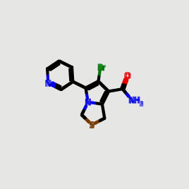 NC(=O)c1c(Br)c(-c2cccnc2)n2c1CSC2